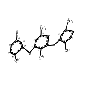 Cc1ccc(O)c(Cc2cc(C)cc(Cc3cc(F)ccc3O)c2O)c1